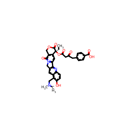 CC[C@@]1(OC(=O)CC(=O)Cc2ccc(C(=O)O)cc2)C(=O)OCc2c1cc1n(c2=O)Cc2cc3c(CN(C)C)c(O)ccc3nc2-1